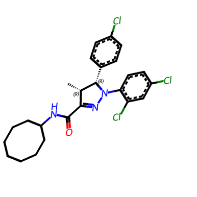 C[C@H]1C(C(=O)NC2CCCCCCC2)=NN(c2ccc(Cl)cc2Cl)[C@H]1c1ccc(Cl)cc1